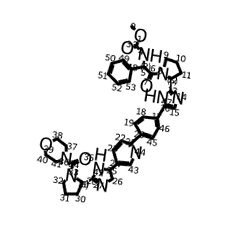 COC(=O)N[C@@H](C(=O)N1CCC[C@H]1c1ncc(-c2ccc(-c3ccc(C4CN=C([C@@H]5CCCN5C(=O)N5CCOCC5)N4)cn3)cc2)[nH]1)c1ccccc1